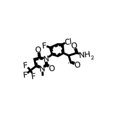 Cn1c(C(F)(F)F)cc(=O)n(-c2cc(C([C]=O)C(N)=O)c(Cl)cc2F)c1=O